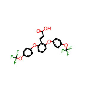 O=C(O)/C=C/c1c(Oc2ccc(OC(F)(F)F)cc2)cccc1Oc1ccc(OC(F)(F)F)cc1